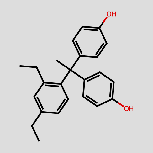 CCc1ccc(C(C)(c2ccc(O)cc2)c2ccc(O)cc2)c(CC)c1